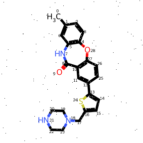 Cc1ccc2c(c1)NC(=O)c1cc(-c3ccc(CN4CCNCC4)s3)ccc1O2